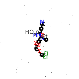 CC[C@@H](c1ccccc1)N1Cc2cc3c(cc2C[C@H]1C(=O)NC(Cc1ccc(-c2ccnc(C)c2C)cc1)C(=O)O)OC[C@H](c1cccc(OCc2ccc(Cl)c(Cl)c2)c1)O3